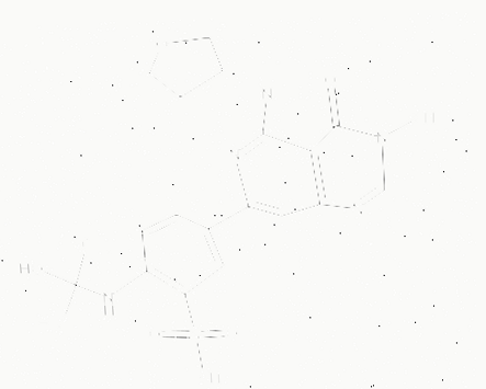 Cn1cnc2cc(-c3ccc(NC(C)(C)O)c(S(C)(=O)=O)c3)nc(N[C@@H]3CCOC3)c2c1=O